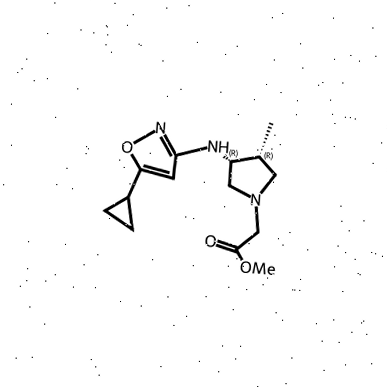 COC(=O)CN1C[C@@H](C)[C@@H](Nc2cc(C3CC3)on2)C1